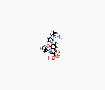 COc1c(N2CCC(CC3(N)CC3)C2)c(F)cc2c(=O)c(C(=O)O)cn([C@@H]3C[C@H]3F)c12